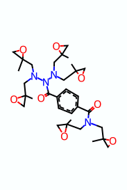 CC1(CN(CC2(C)CO2)C(=O)c2ccc(C(=O)N(N(CC3(C)CO3)CC3(C)CO3)N(CC3(C)CO3)CC3(C)CO3)cc2)CO1